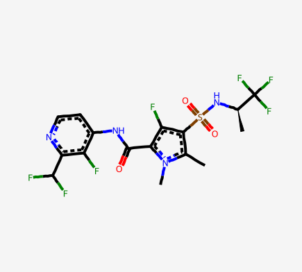 Cc1c(S(=O)(=O)N[C@H](C)C(F)(F)F)c(F)c(C(=O)Nc2ccnc(C(F)F)c2F)n1C